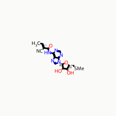 C/C=C(\C#N)C(=O)Nc1ncnc2c1ncn2[C@@H]1O[C@H](CSC)[C@@H](O)[C@H]1O